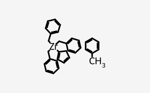 C1=CC[C]([Zr]([CH2]c2ccccc2)([CH2]c2ccccc2)[CH2]c2ccccc2)=C1.Cc1ccccc1